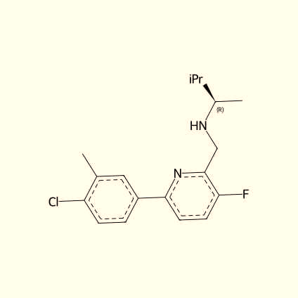 Cc1cc(-c2ccc(F)c(CN[C@H](C)C(C)C)n2)ccc1Cl